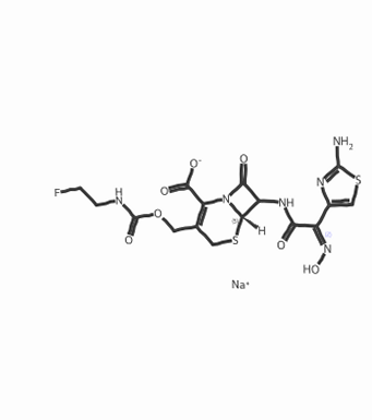 Nc1nc(/C(=N/O)C(=O)NC2C(=O)N3C(C(=O)[O-])=C(COC(=O)NCCF)CS[C@@H]23)cs1.[Na+]